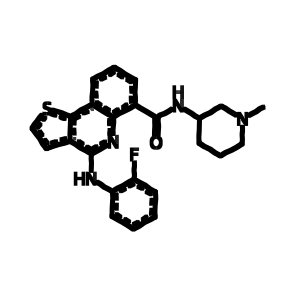 CN1CCCC(NC(=O)c2cccc3c2nc(Nc2ccccc2F)c2ccsc23)C1